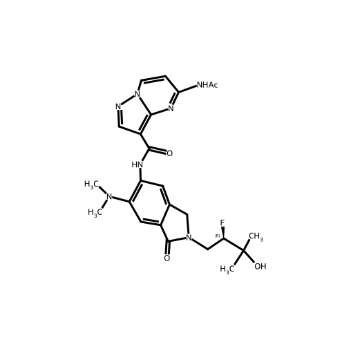 CC(=O)Nc1ccn2ncc(C(=O)Nc3cc4c(cc3N(C)C)C(=O)N(C[C@@H](F)C(C)(C)O)C4)c2n1